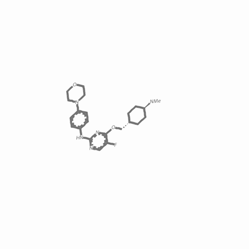 CN[C@H]1CC[C@H](COc2nc(Nc3ccc(N4CCOCC4)cc3)ncc2F)CC1